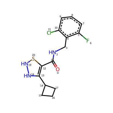 O=C(NCc1c(F)cccc1Cl)C1=C(C2CCC2)NNS1